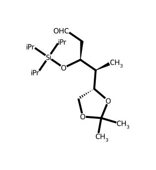 CC(C)[Si](O[C@@H](CC=O)[C@@H](C)[C@H]1COC(C)(C)O1)(C(C)C)C(C)C